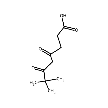 CC(C)(C)C(=O)CC(=O)CCC(=O)O